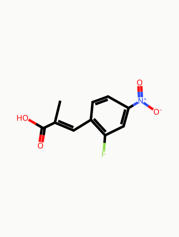 C/C(=C\c1ccc([N+](=O)[O-])cc1F)C(=O)O